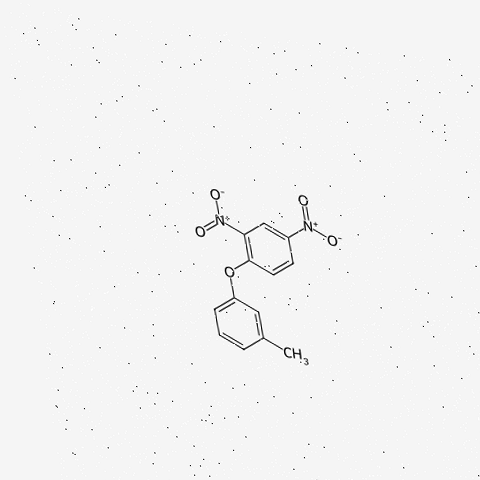 Cc1cccc(Oc2ccc([N+](=O)[O-])cc2[N+](=O)[O-])c1